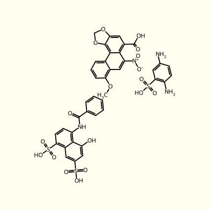 COc1cccc2c1cc([N+](=O)[O-])c1c(C(=O)O)cc3c(c12)OCO3.Nc1ccc(N)c(S(=O)(=O)O)c1.O=C(Nc1ccc(S(=O)(=O)O)c2cc(S(=O)(=O)O)cc(O)c12)c1ccccc1